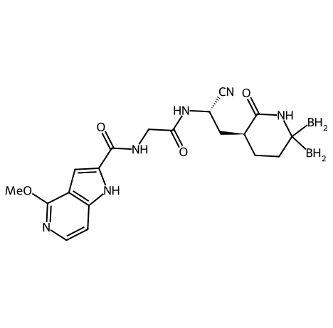 BC1(B)CC[C@@H](C[C@@H](C#N)NC(=O)CNC(=O)c2cc3c(OC)nccc3[nH]2)C(=O)N1